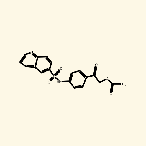 CC(=O)SCC(=O)c1ccc(NS(=O)(=O)c2ccc3ncccc3c2)cc1